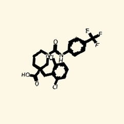 O=C(Nc1ccc(C(F)(F)F)cc1)N1CCCC(Cc2c(Cl)cccc2Cl)(C(=O)O)C1